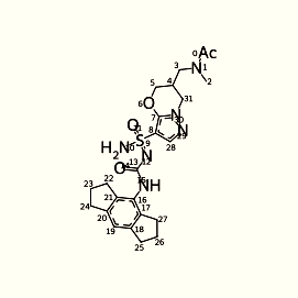 CC(=O)N(C)CC1COc2c(S(N)(=O)=NC(=O)Nc3c4c(cc5c3CCC5)CCC4)cnn2C1